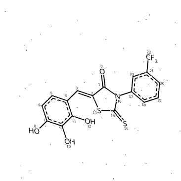 O=C1C(=Cc2ccc(O)c(O)c2O)SC(=S)N1c1cccc(C(F)(F)F)c1